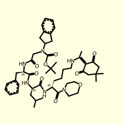 CC(NCCCC[C@@H](NC(=O)[C@@H](CC(C)C)NC(=O)[C@@H](Cc1ccccc1)NC(=O)CN(C(=O)OC(C)(C)C)C1Cc2ccccc2C1)C(=O)N1CCOCC1)=C1C(=O)CC(C)(C)CC1=O